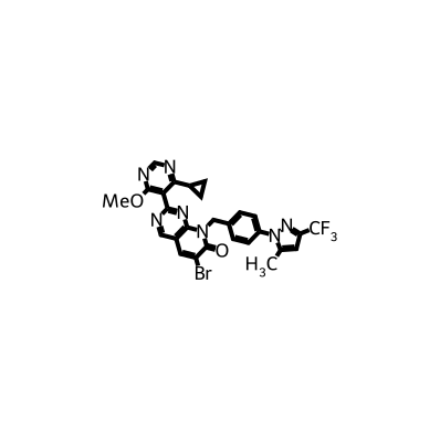 COc1ncnc(C2CC2)c1-c1ncc2cc(Br)c(=O)n(Cc3ccc(-n4nc(C(F)(F)F)cc4C)cc3)c2n1